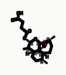 C[C@H]1[C@H](OC(=O)CCC(=O)O)O[C@H]2O[C@]3(C)CC[C@H]4[C@H](C)CC[C@@H]1[C@@]24OO3